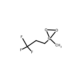 C[Si]1(CCC(F)(F)F)OO1